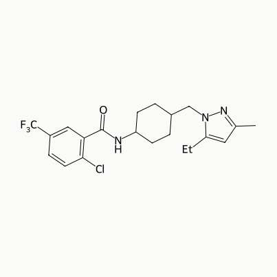 CCc1cc(C)nn1CC1CCC(NC(=O)c2cc(C(F)(F)F)ccc2Cl)CC1